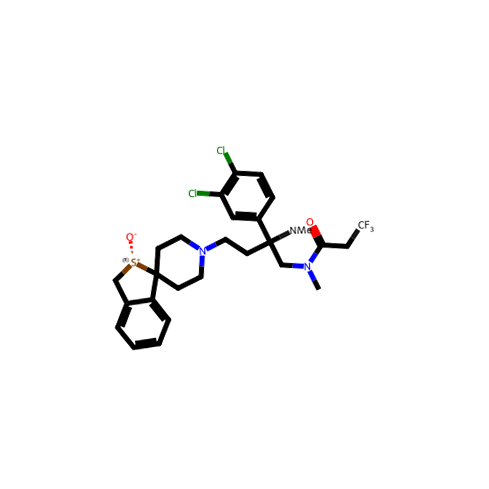 CNC(CCN1CCC2(CC1)c1ccccc1C[S@+]2[O-])(CN(C)C(=O)CC(F)(F)F)c1ccc(Cl)c(Cl)c1